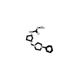 CC(C)(C)OC(=O)N[C@H]1CC[C@@H](CN2CCN(c3ccccc3)CC2)C1